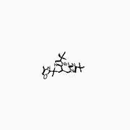 Cc1coc(C(C)(C)CC(Cn2cnc(C(C)(C)C)c2)c2ncc(C(C)(C)C)[nH]2)n1